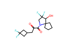 O=C(CC1CC(F)(F)C1)C(=O)N1CC(F)(F)C(O)C12CCCC2